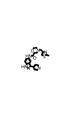 Cc1nc(CN2CCOC(C(=O)Nc3ccc4[nH]nc(-c5ccncc5)c4c3)C2)cs1